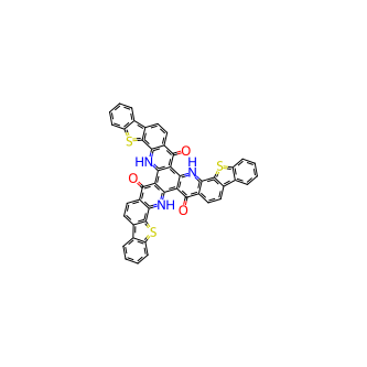 O=c1c2ccc3c4ccccc4sc3c2[nH]c2c1c1[nH]c3c(ccc4c5ccccc5sc43)c(=O)c1c1[nH]c3c(ccc4c5ccccc5sc43)c(=O)c21